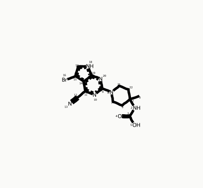 CC1(NC(=O)O)CCN(c2nc(C#N)c3c(Br)c[nH]c3n2)CC1